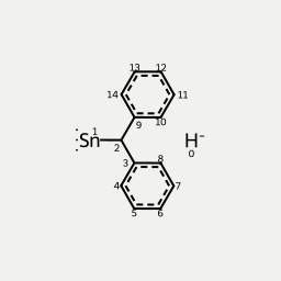 [H-].[Sn][CH](c1ccccc1)c1ccccc1